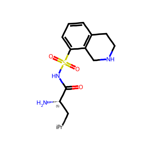 CC(C)C[C@H](N)C(=O)NS(=O)(=O)c1cccc2c1CNCC2